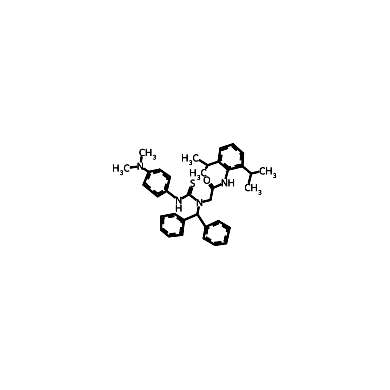 CC(C)c1cccc(C(C)C)c1NC(=O)CN(C(=S)Nc1ccc(N(C)C)cc1)C(c1ccccc1)c1ccccc1